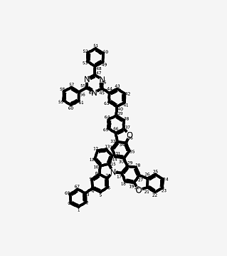 c1ccc(-c2ccc3c(c2)c2ccccc2n3-c2cc3oc4ccccc4c3cc2-c2ccc3c(c2)oc2cc(-c4cccc(-c5nc(-c6ccccc6)nc(-c6ccccc6)n5)c4)ccc23)cc1